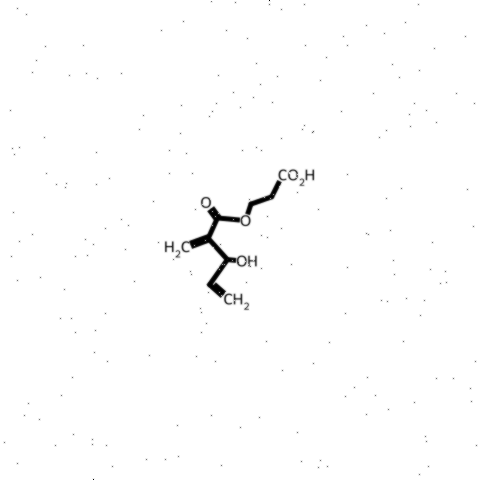 C=CC(O)C(=C)C(=O)OCCC(=O)O